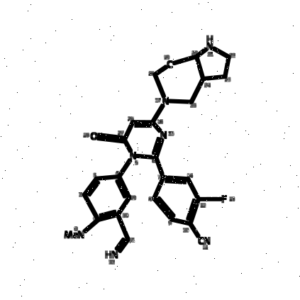 CNc1ccc(-n2c(-c3ccc(C#N)c(F)c3)nc(N3CCC4NCCC4C3)cc2=O)cc1C=N